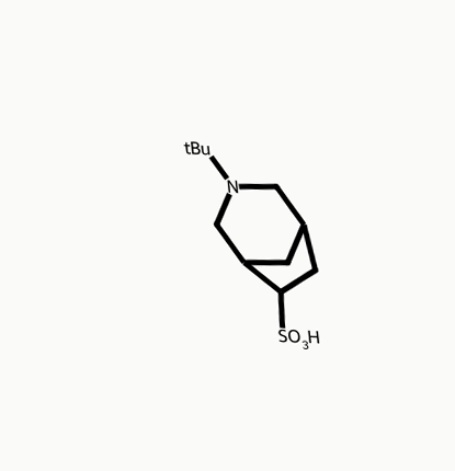 CC(C)(C)N1CC2CC(C1)C(S(=O)(=O)O)C2